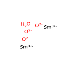 O.[O-2].[O-2].[O-2].[Sm+3].[Sm+3]